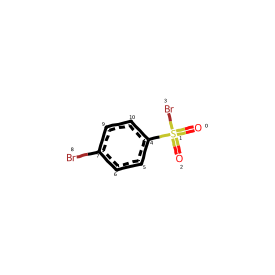 O=S(=O)(Br)c1ccc(Br)cc1